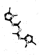 CC(=Nc1ccc(C)n1C)OC(C)=Nc1ccc(C)n1C